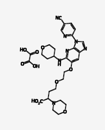 N#Cc1ccc(-n2cnc3cc(OCCOCCC(C(=O)O)N4CCOCC4)c(NC4CCOCC4)nc32)nc1.O=C(O)C(=O)O